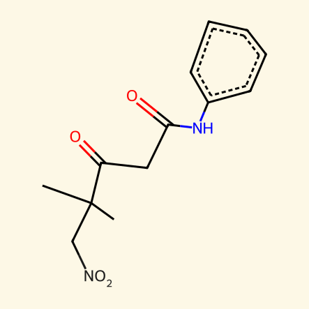 CC(C)(C[N+](=O)[O-])C(=O)CC(=O)Nc1ccccc1